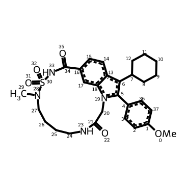 COc1ccc(-c2c(C3CCCCC3)c3ccc4cc3n2CC(=O)NCCCCN(C)S(=O)(=O)NC4=O)cc1